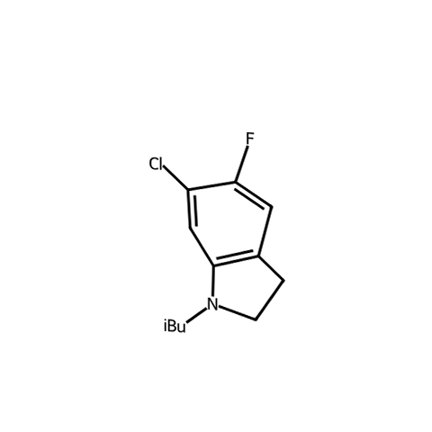 CCC(C)N1CCc2cc(F)c(Cl)cc21